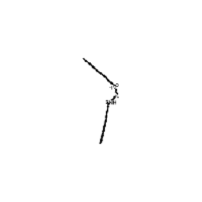 CC#CC#CC#CC#CC#CC#CC#CC#CC(=O)NCCCN(C)CCCNC(=O)C#CC#CC#CC#CC#CC#CC#CC#CC